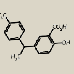 CC(c1ccc(C(F)(F)F)cc1)c1ccc(O)c(C(=O)O)c1